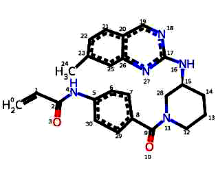 C=CC(=O)Nc1ccc(C(=O)N2CCC[C@H](Nc3ncc4ccc(C)cc4n3)C2)cc1